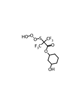 O=C(OC1CCCC(O)C1)C(SOOO)(C(F)(F)F)C(F)(F)F